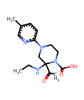 CCNC1(C(C)=O)CN(c2ccc(C)cn2)CCN1C(=O)O